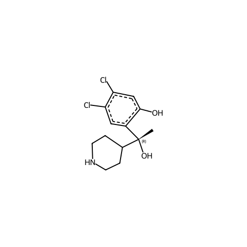 C[C@](O)(c1cc(Cl)c(Cl)cc1O)C1CCNCC1